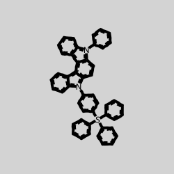 c1ccc(-n2c3ccccc3c3c4c5ccccc5n(-c5ccc(S(c6ccccc6)(c6ccccc6)c6ccccc6)cc5)c4ccc32)cc1